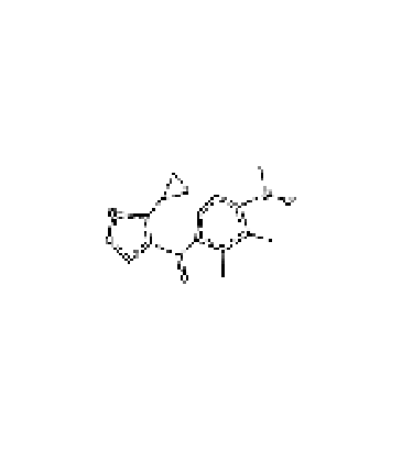 Cc1c(C(=O)c2cnoc2C2CC2)ccc([S+](C)[O-])c1C